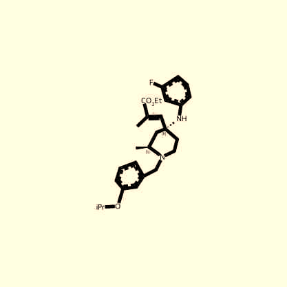 CCOC(=O)/C(C)=C/[C@@]1(Nc2cccc(F)c2)CCN(Cc2cccc(OC(C)C)c2)[C@@H](C)C1